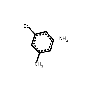 CCc1cccc(C)c1.N